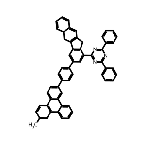 CC1C=Cc2c(c3ccccc3c3cc(-c4ccc(-c5cc6c(c(-c7nc(-c8ccccc8)nc(-c8ccccc8)n7)c5)CC5=C6CC6C=CC=CC6=C5)cc4)ccc23)C1